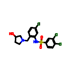 O=S(=O)(Nc1cc(Cl)ccc1CN1CCC(O)C1)c1ccc(Cl)c(Cl)c1